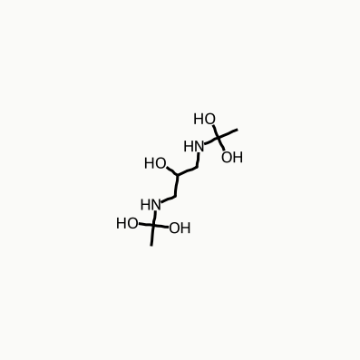 CC(O)(O)NCC(O)CNC(C)(O)O